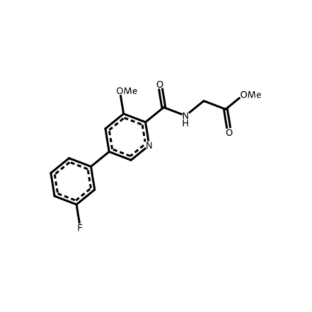 COC(=O)CNC(=O)c1ncc(-c2cccc(F)c2)cc1OC